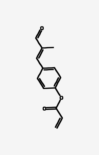 C=CC(=O)Oc1ccc(/C=C(\C)C=O)cc1